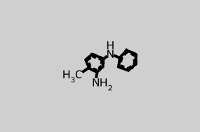 Cc1ccc(Nc2ccccc2)cc1N